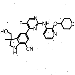 CC1(CO)CNc2c(C#N)cc(-c3nc(Nc4cccnc4OC4CCOCC4)ncc3F)cc21